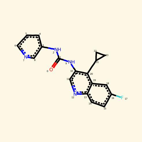 O=C(Nc1cccnc1)Nc1cnc2ccc(F)cc2c1C1CC1